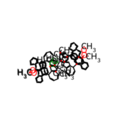 CCC1=CC2=C(C=CC=CC2c2c3ccccc3c(OC)c3ccccc23)[C]12[SiH](C)[C]1(C(CC)=CC3=C1C=CC=CC3c1c3ccccc3c(OC)c3ccccc13)[Zr]21([Cl])([Cl])[C]2(C(CC)=CC3=C2C=CC=CC3c2c3ccccc3c(OC)c3ccccc23)[SiH](C)[C]12C(CC)=CC1=C2C=CC=CC1c1c2ccccc2c(OC)c2ccccc12